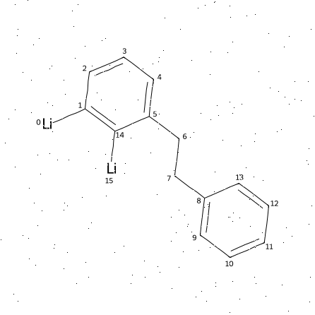 [Li][c]1cccc(CCc2ccccc2)[c]1[Li]